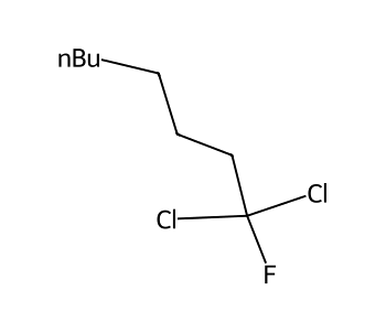 CCCCCCCC(F)(Cl)Cl